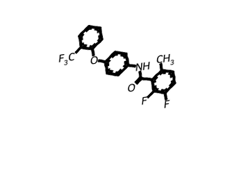 Cc1ccc(F)c(F)c1C(=O)Nc1ccc(Oc2ccccc2C(F)(F)F)cc1